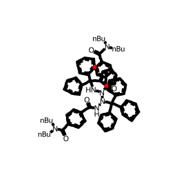 CCCCN(CCCC)C(=O)c1ccc(C(=O)NN(N(NC(c2ccccc2)(c2ccccc2)c2ccccc2)C(=O)c2ccc(C(=O)N(CCCC)CCCC)cc2)C(c2ccccc2)(c2ccccc2)c2ccccc2)cc1